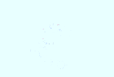 CC/C(=N/OC/C=C/c1ccccc1)c1cc(OCC(=O)N(C)CC(=O)N2CCCCC2)n(C)c1